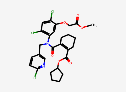 COC(=O)COc1cc(N(Cc2ccc(Cl)nc2)C(=O)C2=C(C(=O)OC3CCCC3)CCCC2)c(Cl)cc1Cl